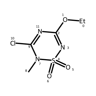 CCOC1=NS(=O)(=O)N(C)C(Cl)=N1